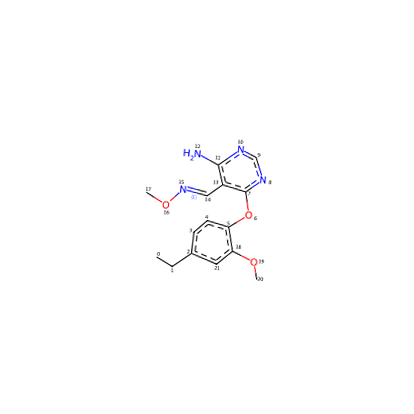 CCc1ccc(Oc2ncnc(N)c2/C=N/OC)c(OC)c1